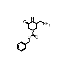 NCC1CN(C(=O)OCc2ccccc2)CC(=O)N1